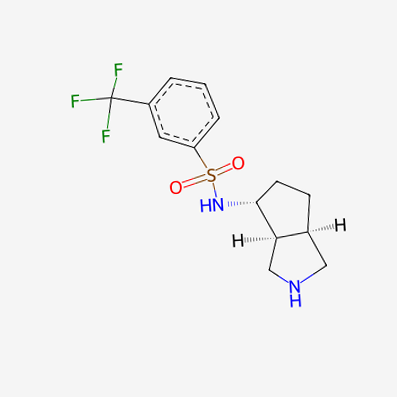 O=S(=O)(N[C@@H]1CC[C@H]2CNC[C@H]21)c1cccc(C(F)(F)F)c1